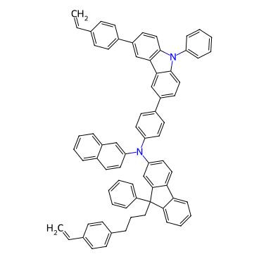 C=Cc1ccc(CCCC2(c3ccccc3)c3ccccc3-c3ccc(N(c4ccc(-c5ccc6c(c5)c5cc(-c7ccc(C=C)cc7)ccc5n6-c5ccccc5)cc4)c4ccc5ccccc5c4)cc32)cc1